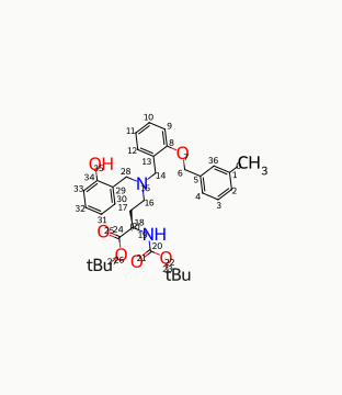 Cc1cccc(COc2ccccc2CN(CC[C@@H](NC(=O)OC(C)(C)C)C(=O)OC(C)(C)C)Cc2ccccc2O)c1